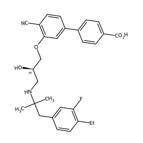 CCc1ccc(CC(C)(C)NC[C@@H](O)COc2cc(-c3ccc(C(=O)O)cc3)ccc2C#N)cc1F